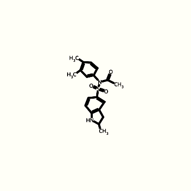 CC(=O)N(c1ccc(C)c(C)c1)S(=O)(=O)c1ccc2c(c1)CC(C)N2